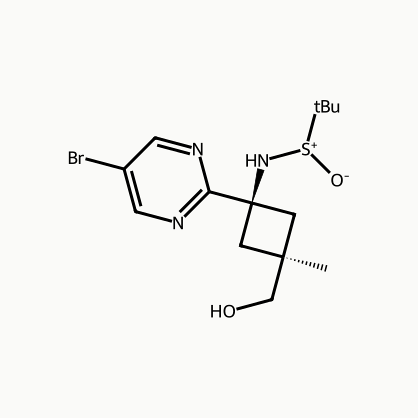 CC(C)(C)[S+]([O-])N[C@]1(c2ncc(Br)cn2)C[C@](C)(CO)C1